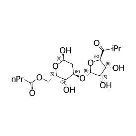 CCCC(=O)OC[C@@H]1O[C@@H](O)C[C@@H](O[C@@H]2O[C@@H](C(=O)C(C)C)[C@H](O)[C@@H]2O)[C@@H]1O